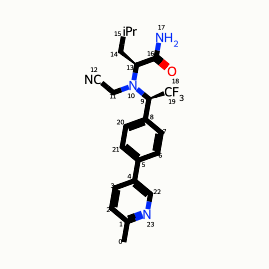 Cc1ccc(-c2ccc([C@@H](N(CC#N)[C@@H](CC(C)C)C(N)=O)C(F)(F)F)cc2)cn1